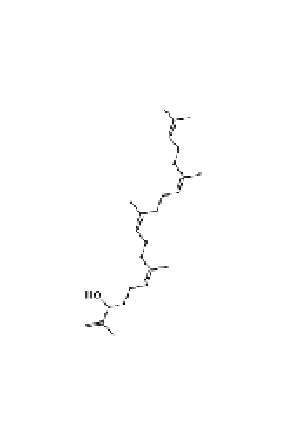 C=C(C)C(O)CCC=C(C)CCC=C(C)CCC=C(C)CCC=C(C)C